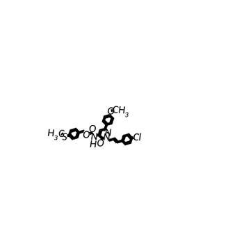 COc1ccc(-c2cc(NC(=O)OCc3ccc(SC)cc3)c(=O)n(CC=Cc3ccc(Cl)cc3)n2)cc1